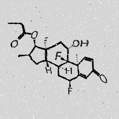 CCC(=O)O[C@@H]1[C@H](C)C[C@H]2[C@@H]3C[C@H](F)C4=CC(=O)C=C[C@]4(C)[C@@]3(F)[C@@H](O)C[C@]12C